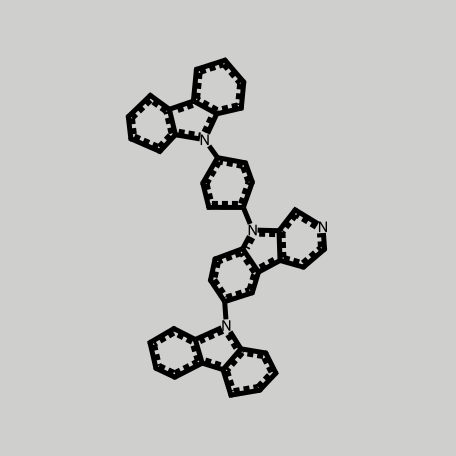 c1ccc2c(c1)c1ccccc1n2-c1ccc(-n2c3ccc(-n4c5ccccc5c5ccccc54)cc3c3ccncc32)cc1